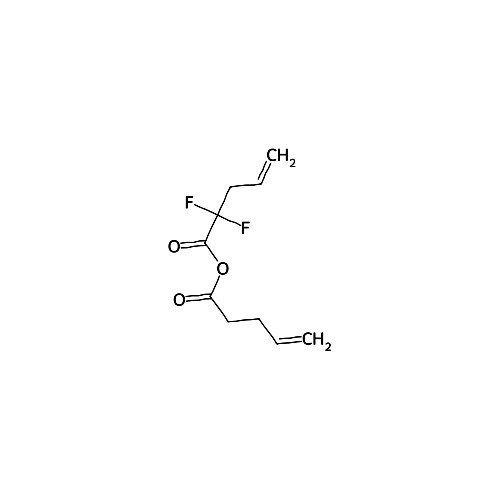 C=CCCC(=O)OC(=O)C(F)(F)CC=C